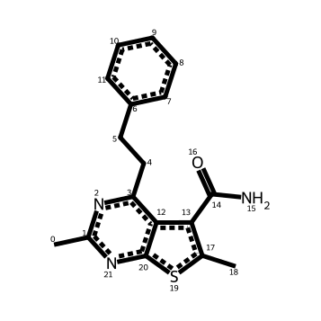 Cc1nc(CCc2ccccc2)c2c(C(N)=O)c(C)sc2n1